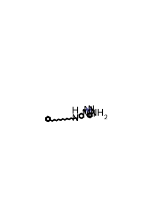 C=C(/N=C(\c1ccccc1N)N(C)C)N[C@H]1CC[C@@H](CNCCCCCCCCCCCc2ccccc2)CC1